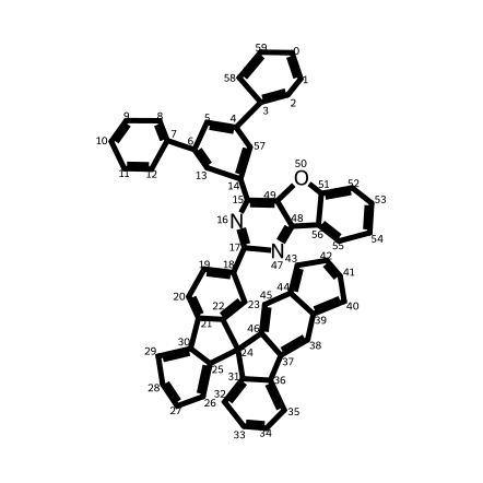 c1ccc(-c2cc(-c3ccccc3)cc(-c3nc(-c4ccc5c(c4)C4(c6ccccc6-5)c5ccccc5-c5cc6ccccc6cc54)nc4c3oc3ccccc34)c2)cc1